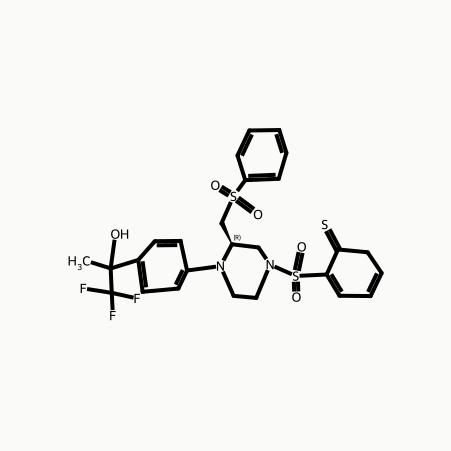 CC(O)(c1ccc(N2CCN(S(=O)(=O)C3=CC=CCC3=S)C[C@@H]2CS(=O)(=O)c2ccccc2)cc1)C(F)(F)F